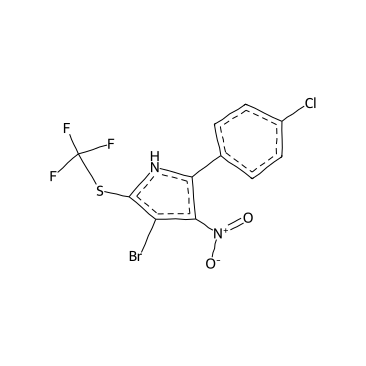 O=[N+]([O-])c1c(-c2ccc(Cl)cc2)[nH]c(SC(F)(F)F)c1Br